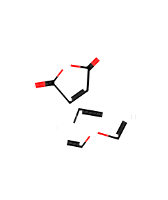 C=CC(=O)O.C=COC=C.O=C1C=CC(=O)O1